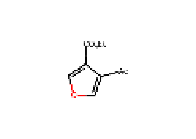 CCOC(=O)c1cocc1C(C)=O